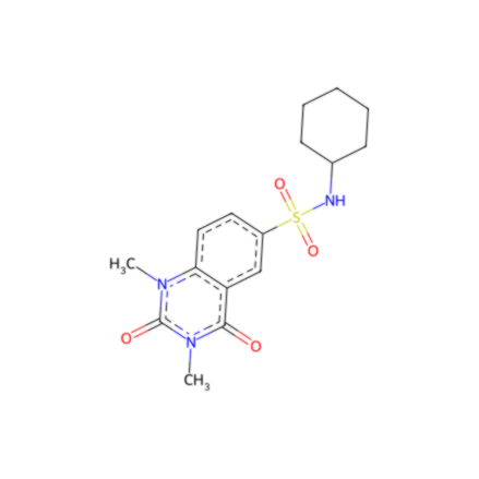 Cn1c(=O)c2cc(S(=O)(=O)NC3CCCCC3)ccc2n(C)c1=O